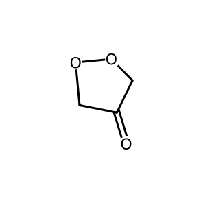 O=C1COOC1